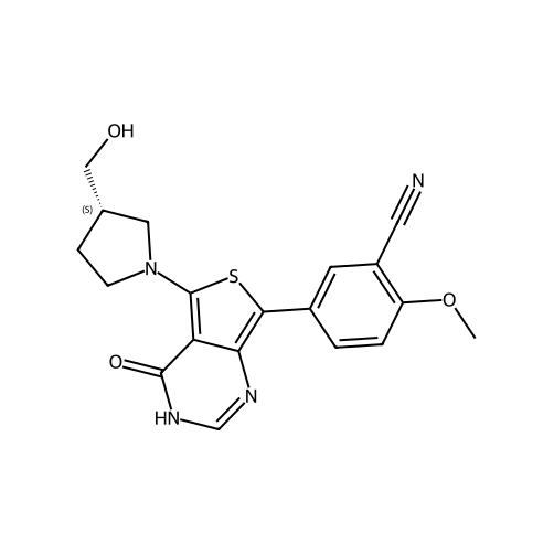 COc1ccc(-c2sc(N3CC[C@H](CO)C3)c3c(=O)[nH]cnc23)cc1C#N